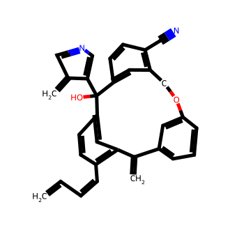 C=C/C=C\c1ccc2cc1C(=C)c1cccc(c1)OCc1cc(ccc1C#N)C2(O)C1=CN=CC1=C